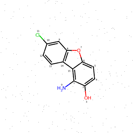 Nc1c(O)ccc2oc3cc(Cl)ccc3c12